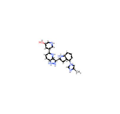 Cc1cn(-c2cccc3[nH]c(-c4n[nH]c5ccc(-c6cncc(O)c6)nc45)cc23)cn1